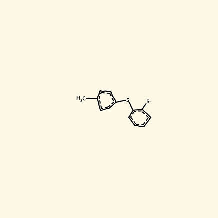 Cc1ccc(Sc2ccccc2[S])cc1